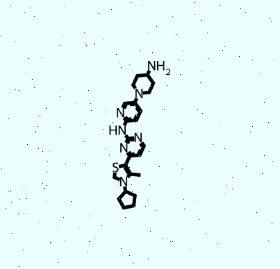 CC1=C(c2ccnc(Nc3ccc(N4CCC(N)CC4)cn3)n2)SCN1C1CCCC1